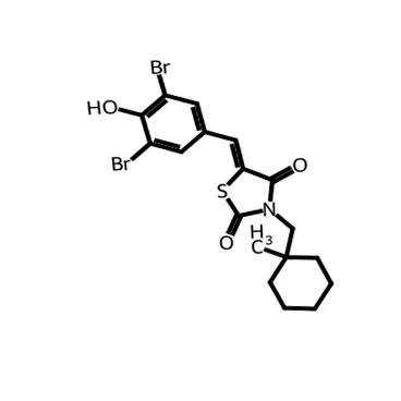 CC1(CN2C(=O)SC(=Cc3cc(Br)c(O)c(Br)c3)C2=O)CCCCC1